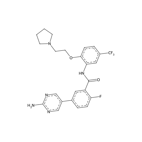 Nc1ncc(-c2ccc(F)c(C(=O)Nc3cc(C(F)(F)F)ccc3OCCN3CCCC3)c2)cn1